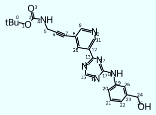 CC(C)(C)OC(=O)NCC#Cc1cncc(-c2ncnc(Nc3cccc(CO)c3)n2)c1